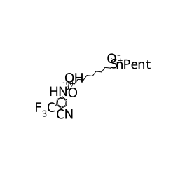 CCCCC[S+]([O-])CCCCCCCCC[C@](C)(O)C(=O)Nc1ccc(C#N)c(C(F)(F)F)c1